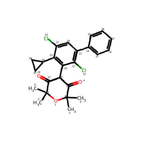 CC1(C)OC(C)(C)C(=O)C(c2c(Cl)c(-c3ccccc3)cc(Cl)c2C2CC2)C1=O